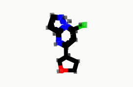 Clc1cc(C2CCOC2)nc2ccnn12